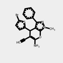 C#CC1=C(N)Oc2c(c(-c3ccccc3)nn2C)C1c1ccc(Br)s1